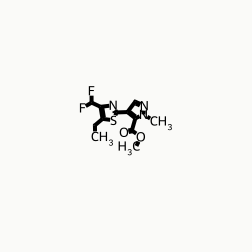 CCc1sc(-c2cnn(C)c2C(=O)OC)nc1C(F)F